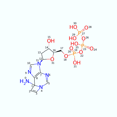 NC12C=CN1C=Nc1c2ncn1[C@H]1C[C@H](O)[C@@H](COP(=O)(O)OP(=O)(O)OP(=O)(O)O)O1